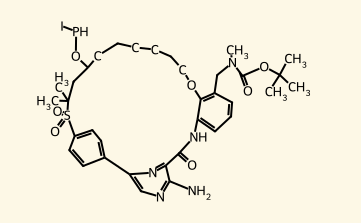 CN(Cc1cccc2c1OCCCCCCC(OPI)CC(C)(C)S(=O)(=O)c1ccc(cc1)-c1cnc(N)c(n1)C(=O)N2)C(=O)OC(C)(C)C